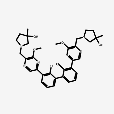 COc1nc(-c2cccc(-c3cccc(-c4cnc(CN5CCC(C)(O)C5)c(OC)n4)c3Cl)c2Cl)cnc1CN1CCC(C)(O)C1